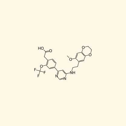 COc1cc2c(cc1CCNc1cc(-c3ccc(CC(=O)O)c(OC(F)(F)F)c3)ncn1)OCCO2